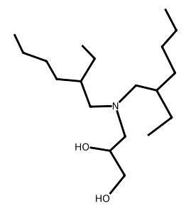 CCCCC(CC)CN(CC(O)CO)CC(CC)CCCC